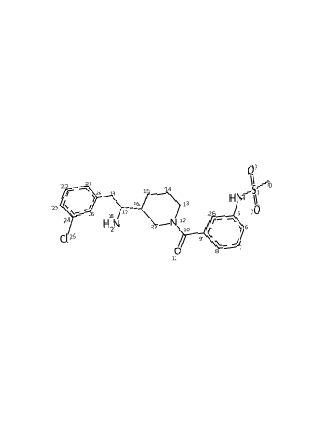 CS(=O)(=O)Nc1cccc(C(=O)N2CCCC(C(N)Cc3cccc(Cl)c3)C2)c1